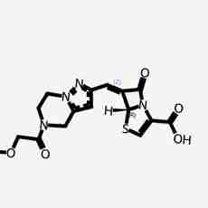 COCC(=O)N1CCn2nc(/C=C3/C(=O)N4C(C(=O)O)=CS[C@H]34)cc2C1